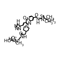 CC(C)(C)c1csc(NC(=O)c2ccn3c(=O)c(/C=C/c4nnn[nH]4)c(N4CCC(CC(=O)NCC[N+](C)(C)CC(=O)O)CC4)nc3c2)n1